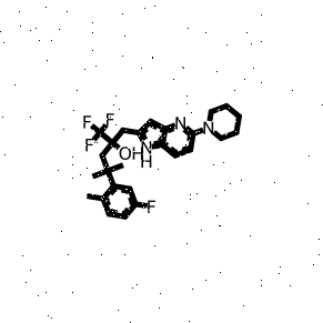 Cc1ccc(F)cc1C(C)(C)CC(O)(Cc1cc2nc(N3CCCCC3)ccc2[nH]1)C(F)(F)F